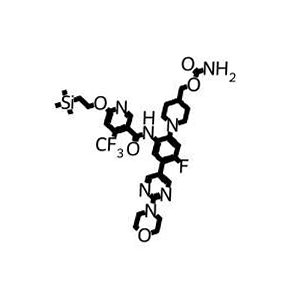 C[Si](C)(C)CCOc1cc(C(F)(F)F)c(C(=O)Nc2cc(-c3cnc(N4CCOCC4)nc3)c(F)cc2N2CCC(COC(N)=O)CC2)cn1